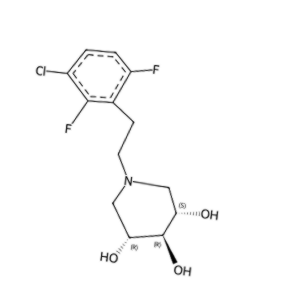 O[C@H]1[C@H](O)CN(CCc2c(F)ccc(Cl)c2F)C[C@@H]1O